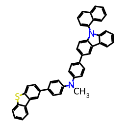 CN(c1ccc(-c2ccc3sc4ccccc4c3c2)cc1)c1ccc(-c2ccc3c(c2)c2ccccc2n3-c2cccc3ccccc23)cc1